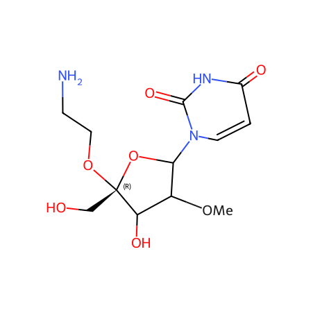 COC1C(n2ccc(=O)[nH]c2=O)O[C@@](CO)(OCCN)C1O